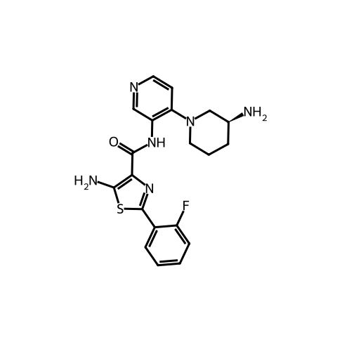 Nc1sc(-c2ccccc2F)nc1C(=O)Nc1cnccc1N1CCC[C@H](N)C1